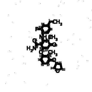 CCc1ccc(Nc2c(C(N)=O)c(Oc3cccc(O[C@@H]4CCOC4)c3C)cc(=O)n2C)c(F)c1